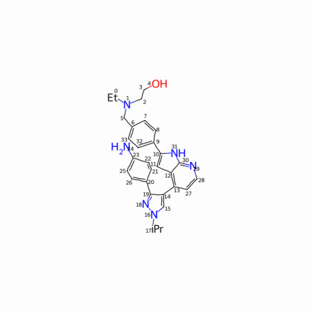 CCN(CCO)Cc1ccc(-c2cc3c(-c4cn(C(C)C)nc4-c4ccc(N)cc4)ccnc3[nH]2)cc1